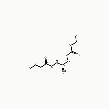 CCOC(=O)CN[PH](=N)NCC(=O)OCC